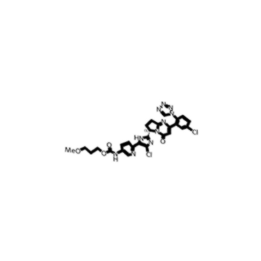 COCCCOC(=O)Nc1ccc(-c2[nH]c([C@@H]3CCc4nc(-c5cc(Cl)ccc5-n5cnnn5)cc(=O)n43)nc2Cl)nc1